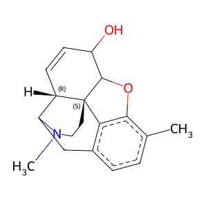 Cc1ccc2c3c1OC1C(O)C=C[C@H]4C(C2)N(C)CC[C@]314